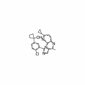 Cc1nc2ccc(C3CC3)nc2n2c(-c3cc(C4(O)CCC4)ccc3Cl)ncc12